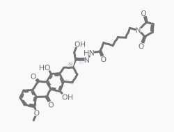 COc1cccc2c1C(=O)c1c(O)c3c(c(O)c1C2=O)C[C@@H](/C(CO)=N/NC(=O)CCCCCN1C(=O)C=CC1=O)CC3